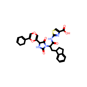 O=C(O)c1csc(NC(=O)C(CC2CCc3ccccc32)N2C(=O)NC(C3=COC=C(C4=CC=CCC4)O3)C2=O)n1